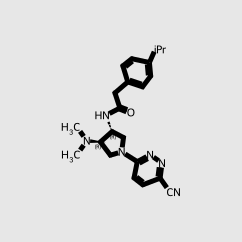 CC(C)c1ccc(CC(=O)N[C@@H]2CN(c3ccc(C#N)nn3)C[C@H]2N(C)C)cc1